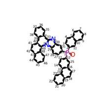 O=P(c1ccc2ccccc2c1)(c1ccc2c(ccc3ccccc32)c1)c1ccc2c(c1)nc1c3ccccc3c3ccc4ccccc4c3n21